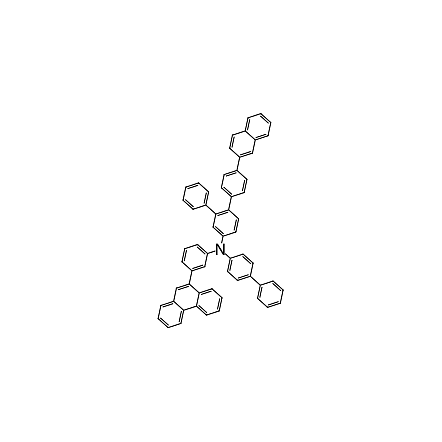 c1ccc(-c2ccc(N(c3cccc(-c4cc5ccccc5c5ccccc45)c3)c3ccc(-c4ccc(-c5ccc6ccccc6c5)cc4)c(-c4ccccc4)c3)cc2)cc1